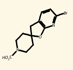 O=C(O)N1CCC2(CC1)Cc1ccc(Br)nc1O2